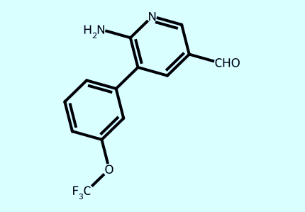 Nc1ncc(C=O)cc1-c1cccc(OC(F)(F)F)c1